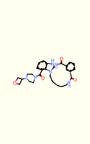 O=C1/N=C2\Nc3cccc(C(=O)N4CCN(C5COC5)CC4)c3N2CCCCCNC(=O)c2cccc1c2